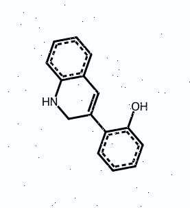 Oc1ccccc1C1=Cc2ccccc2NC1